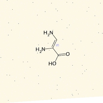 N/C=C(\N)C(=O)O